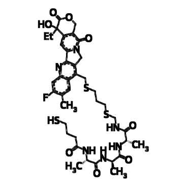 CCC1(O)C(=O)OCc2c1cc1n(c2=O)Cc2c-1nc1cc(F)c(C)cc1c2CSCCCSCNC(=O)[C@H](C)NC(=O)[C@@H](C)NC(=O)[C@H](C)NC(=O)CCCS